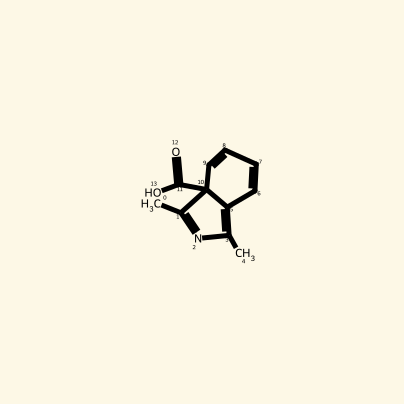 CC1=NC(C)=C2C=CC=CC12C(=O)O